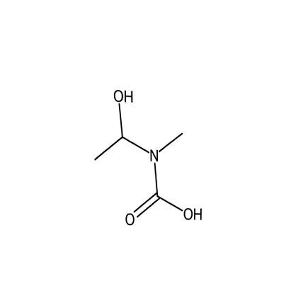 CC(O)N(C)C(=O)O